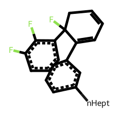 CCCCCCCc1cccc(C2=CC=CCC2(F)c2cccc(F)c2F)c1